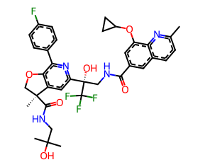 Cc1ccc2cc(C(=O)NC[C@](O)(c3cc4c(c(-c5ccc(F)cc5)n3)OC[C@]4(C)C(=O)NCC(C)(C)O)C(F)(F)F)cc(OC3CC3)c2n1